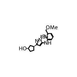 COCc1cccc(Nc2cc([C@H]3CC[C@@H](O)C3)nn2C(C)(C)C)n1